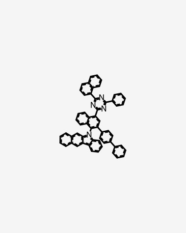 c1ccc(-c2ccc(-c3cc(-c4nc(-c5ccccc5)nc(-c5cccc6ccccc56)n4)c4ccccc4c3-n3c4ccccc4c4cc5ccccc5cc43)cc2)cc1